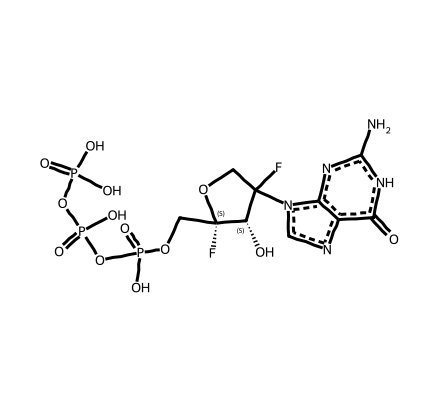 Nc1nc2c(ncn2C2(F)CO[C@](F)(COP(=O)(O)OP(=O)(O)OP(=O)(O)O)[C@H]2O)c(=O)[nH]1